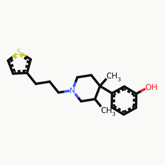 CC1CN(CCCc2ccsc2)CCC1(C)c1cccc(O)c1